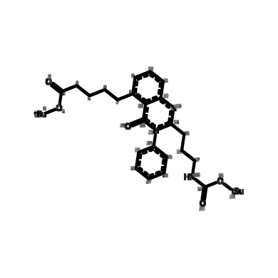 CC(C)(C)OC(=O)CCCCc1cccc2nc(CCCNC(=O)OC(C)(C)C)n(-c3ccccc3)c(=O)c12